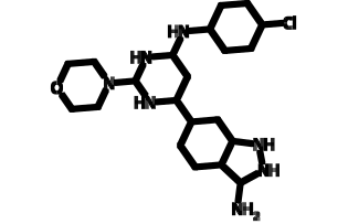 NC1NNC2CC(C3CC(NC4CCC(Cl)CC4)NC(N4CCOCC4)N3)CCC12